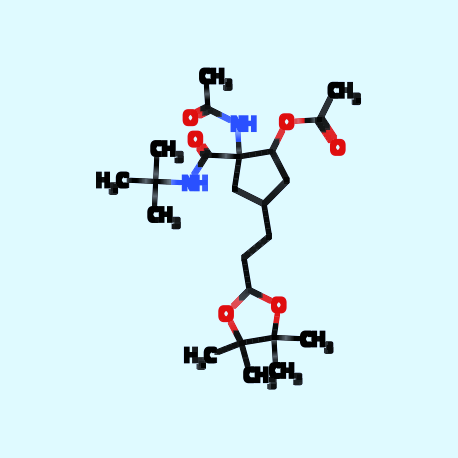 CC(=O)NC1(C(=O)NC(C)(C)C)CC(CCC2OC(C)(C)C(C)(C)O2)CC1OC(C)=O